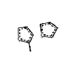 Cc1cc[c]s1.[c]1cccs1